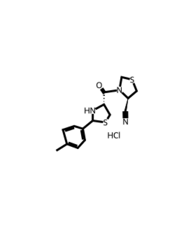 Cc1ccc(C2N[C@H](C(=O)N3CSC[C@H]3C#N)CS2)cc1.Cl